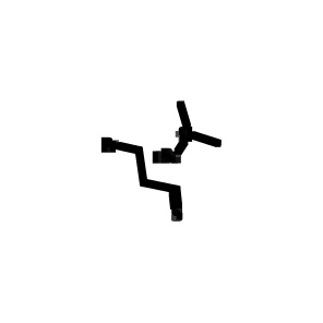 CCCC[Si](C)C.S=CCCBr